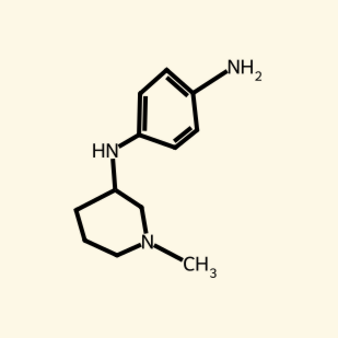 CN1CCCC(Nc2ccc(N)cc2)C1